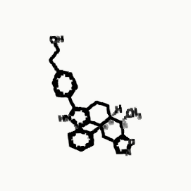 C[C@@H]1c2oncc2C[C@]2(c3ccccc3)c3n[nH]c(-c4ccc(CCO)cc4)c3CC[C@@H]12